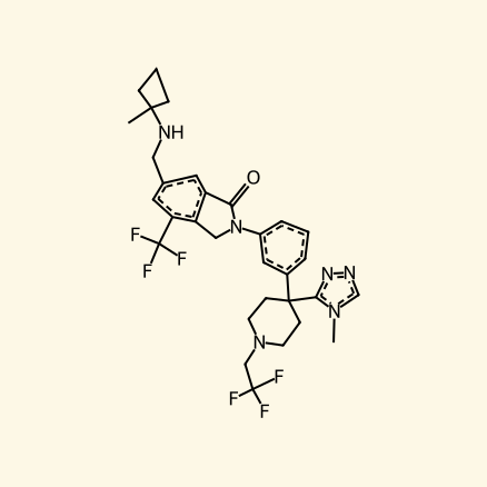 Cn1cnnc1C1(c2cccc(N3Cc4c(cc(CNC5(C)CCC5)cc4C(F)(F)F)C3=O)c2)CCN(CC(F)(F)F)CC1